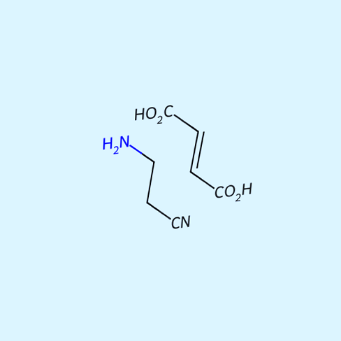 N#CCCN.O=C(O)C=CC(=O)O